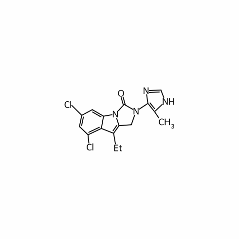 CCc1c2n(c3cc(Cl)cc(Cl)c13)C(=O)N(c1nc[nH]c1C)C2